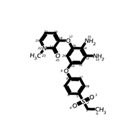 CCS(=O)(=O)c1ccc(Oc2cc(N)c(N)c(Oc3cccn(C)c3=O)c2)cc1